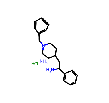 Cl.N.NC(CC1CCN(Cc2ccccc2)CC1)c1ccccc1